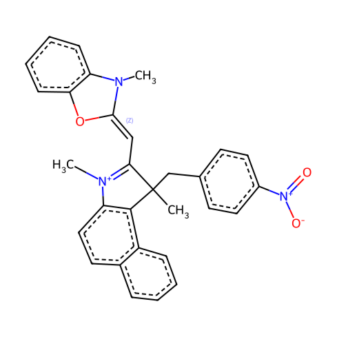 CN1/C(=C/C2=[N+](C)c3ccc4ccccc4c3C2(C)Cc2ccc([N+](=O)[O-])cc2)Oc2ccccc21